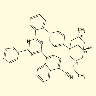 CC[C@H]1C[C@H]2C[C@@H](C)CC(c3ccc(-c4ccccc4-c4nc(-c5ccccc5)nc(-c5ccc(C#N)c6ccccc56)n4)cc3)(C2)C1